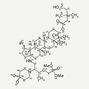 COP(=O)(COC(C)C(CN[C@]12CC[C@@H](C(C)C)[C@@H]1[C@H]1CC[C@@H]3[C@@]4(C)CC[C@H](OC(=O)CC(C)(C)CC(=O)O)C(C)(C)[C@@H]4CC[C@@]3(C)[C@]1(C)CC2)N1CCS(=O)(=O)CC1)OC